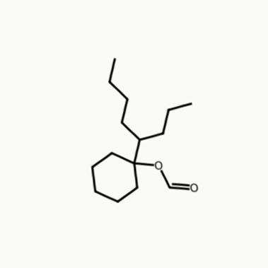 CCCCC(CCC)C1(OC=O)CCCCC1